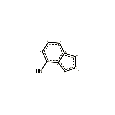 [NH]c1cccc2cocc12